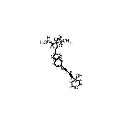 CC(CCc1nc2ccc(C#CC#CC3(O)CCOCC3)cc2s1)(C(=O)NO)S(C)(=O)=O